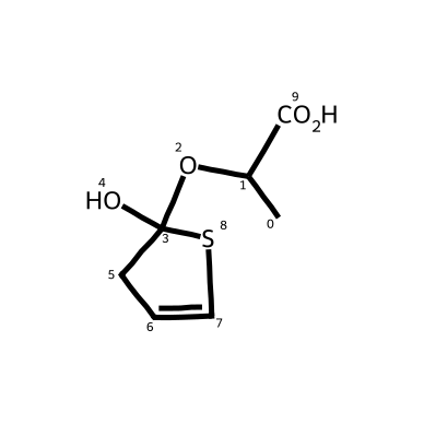 CC(OC1(O)CC=CS1)C(=O)O